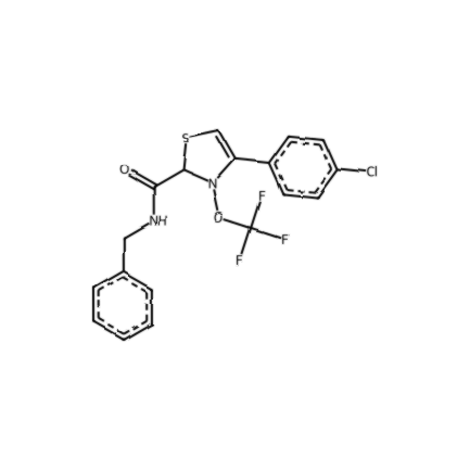 O=C(NCc1ccccc1)C1SC=C(c2ccc(Cl)cc2)N1OC(F)(F)F